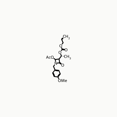 C=CCOC(=O)O[C@H](C)C1C(=O)N(Cc2ccc(OC)cc2)C1OC(C)=O